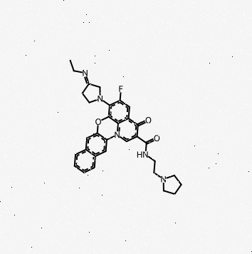 CC/N=C1\CCN(c2c(F)cc3c(=O)c(C(=O)NCCN4CCCC4)cn4c3c2Oc2cc3ccccc3cc2-4)C1